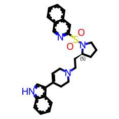 O=S(=O)(c1cc2ccccc2cn1)N1CCC[C@H]1CCN1CC=C(c2c[nH]c3ccccc23)CC1